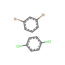 Brc1cccc(Br)c1.Clc1ccc(Cl)cc1